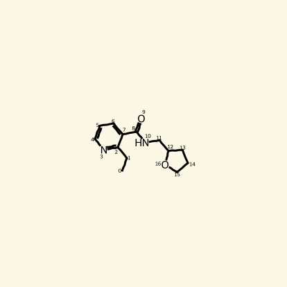 CCc1ncccc1C(=O)NCC1CCCO1